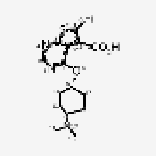 CCc1sc2ncnc(O[C@H]3CC[C@H](N(C)C)CC3)c2c1C(=O)O